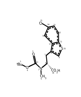 CN(C(=O)OC(C)(C)C)[C@H](Cc1csc2ccc(Cl)cc12)C(=O)O